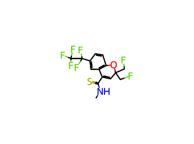 CNC(=S)C1=CC(CF)(CF)Oc2ccc(C(F)(F)C(F)(F)F)cc21